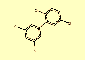 Clc1cc(Cl)cc(-c2cc(Cl)ccc2Cl)c1